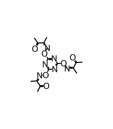 CC(=O)/C(C)=N\Oc1nc(O/N=C(/C)C(C)=O)nc(O/N=C(/C)C(C)=O)n1